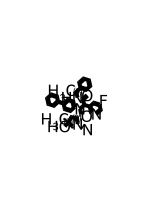 C[C@H](NC(=O)C(c1cncc(F)c1)N(C(=O)[C@H]1C[C@@](C)(O)CN1C#N)c1ccc(-c2ccccc2)cc1)c1ccccc1